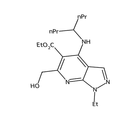 CCCC(CCC)Nc1c(C(=O)OCC)c(CO)nc2c1cnn2CC